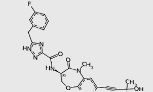 CN1C(=O)[C@H](NC(=O)c2n[nH]c(Cc3cccc(F)c3)n2)COc2ccc(C#CC(C)(C)O)cc21